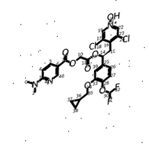 CN(C)c1ccc(C(=O)OCC(=O)O[C@@H](Cc2c(Cl)c[n+](O)cc2Cl)c2ccc(OC(F)F)c(OCC3CC3)c2)cn1